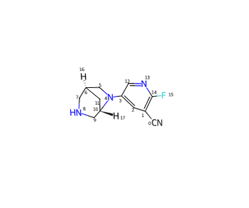 N#Cc1cc(N2C[C@@H]3CNC[C@@H]2C3)cnc1F